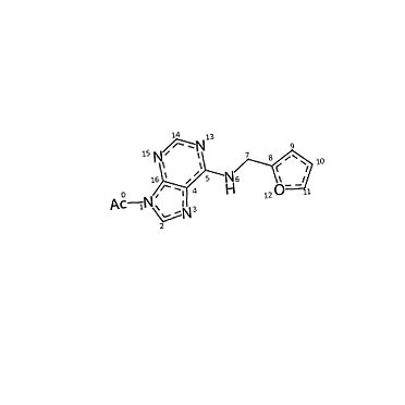 CC(=O)n1cnc2c(NCc3ccco3)ncnc21